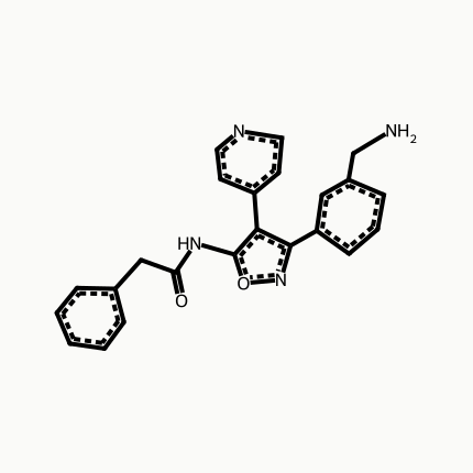 NCc1cccc(-c2noc(NC(=O)Cc3ccccc3)c2-c2ccncc2)c1